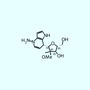 CO[C@]1(C)[C@H](O)[C@@H](CO)O[C@H]1C1C=CN(N)c2cc[nH]c21